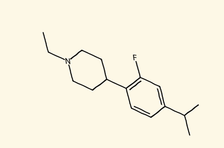 CCN1CCC(c2ccc(C(C)C)cc2F)CC1